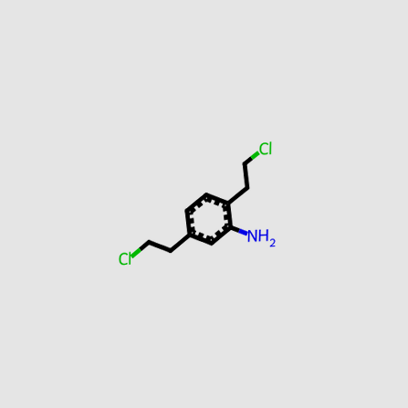 Nc1cc(CCCl)ccc1CCCl